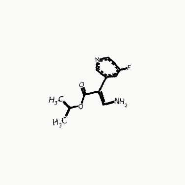 CC(C)OC(=O)/C(=C/N)c1cncc(F)c1